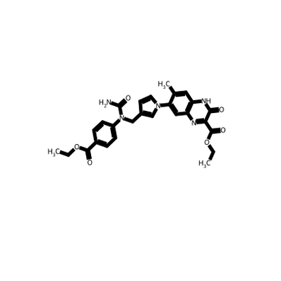 CCOC(=O)c1ccc(N(Cc2ccn(-c3cc4nc(C(=O)OCC)c(=O)[nH]c4cc3C)c2)C(N)=O)cc1